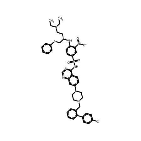 CCN(CC)CC[C@H](CSc1ccccc1)Nc1ccc(S(=O)(=O)Nc2ncnc3cc(N4CCN(Cc5ccccc5-c5ccc(Cl)cc5)CC4)ccc23)cc1[N+](=O)[O-]